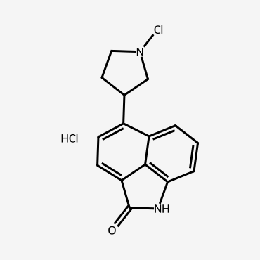 Cl.O=C1Nc2cccc3c(C4CCN(Cl)C4)ccc1c23